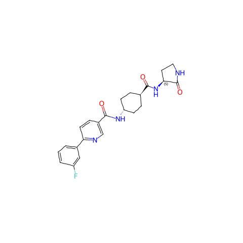 O=C(N[C@H]1CC[C@H](C(=O)N[C@H]2CCNC2=O)CC1)c1ccc(-c2cccc(F)c2)nc1